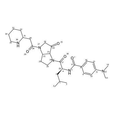 CC(C)C[C@H](NC(=O)c1ccc(N(C)C)cc1)C(=O)N1CCC2C1C(=O)CN2C(=O)CC1CCCCN1